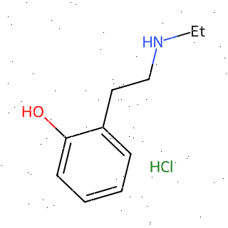 CCNCCc1ccccc1O.Cl